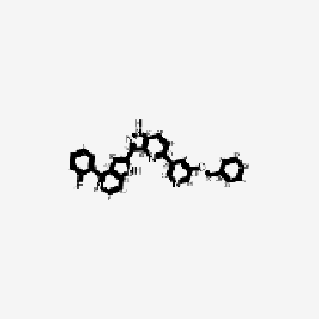 Fc1ccccc1-c1nccc2[nH]c(-c3n[nH]c4ccc(-c5cncc(OCc6ccccc6)c5)nc34)cc12